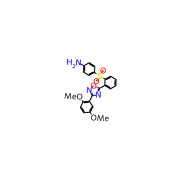 COc1ccc(OC)c(-c2noc(-c3ccccc3S(=O)(=O)c3ccc(N)cc3)n2)c1